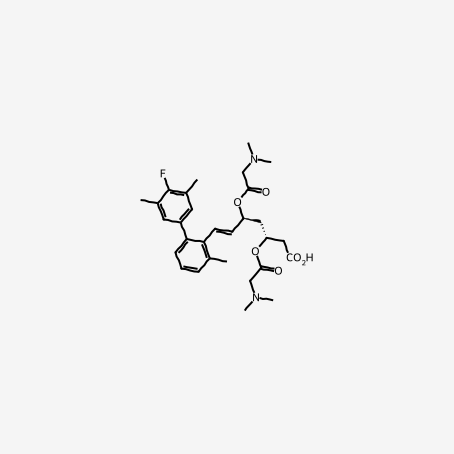 Cc1cc(-c2cccc(C)c2C=C[C@H](C[C@H](CC(=O)O)OC(=O)CN(C)C)OC(=O)CN(C)C)cc(C)c1F